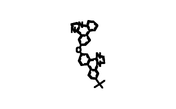 CC(C)(C)c1ccc2c3ccc(Oc4ccc5c6ccccc6n6ccnc6c5c4)cc3c3nccn3c2c1